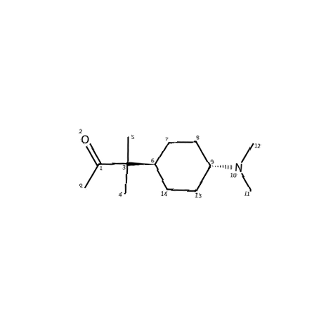 CC(=O)C(C)(C)[C@H]1CC[C@H](N(C)C)CC1